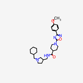 COc1ccc(-c2noc(N3CCC(C(=O)NCC4CCN(CC5CCCCC5)C4)CC3)n2)cc1